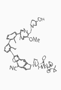 COc1nc(-c2cccc(-c3cccc(-c4cc5cc6c(c(C#N)c5o4)CC[C@H]6N4CC[C@@H](C(=O)NS(=O)(=O)C5(C)CC5)C4)c3C)c2C)cnc1CN1CC[C@@H](O)C1